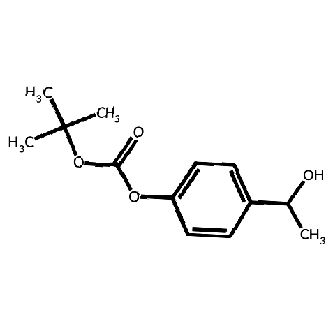 CC(O)c1ccc(OC(=O)OC(C)(C)C)cc1